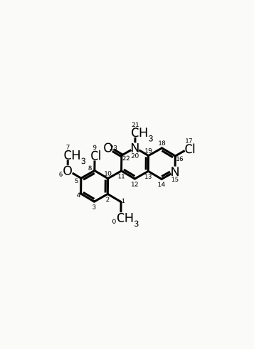 CCc1ccc(OC)c(Cl)c1-c1cc2cnc(Cl)cc2n(C)c1=O